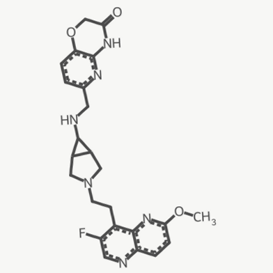 COc1ccc2ncc(F)c(CCN3CC4C(C3)C4NCc3ccc4c(n3)NC(=O)CO4)c2n1